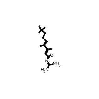 CC(=C\CCC(C)(C)C)/C(C)=C/C(=O)N=C(N)N